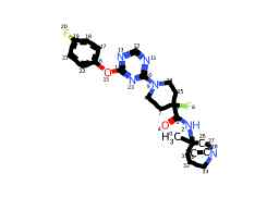 CC1(NC(=O)C2(F)CCN(c3ncnc(Oc4ccc(F)cc4)n3)CC2)CCN2CCC1CC2